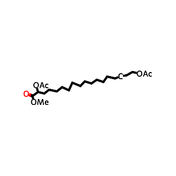 COC(=O)C(CCCCCCCCCCCCCCCCOC(C)=O)OC(C)=O